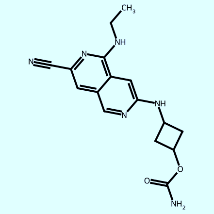 CCNc1nc(C#N)cc2cnc(NC3CC(OC(N)=O)C3)cc12